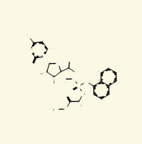 CC(C)OC(=O)[C@H](C)NP(=S)(OC[C@@]1(C(F)F)O[C@@H](n2ccc(N)nc2=O)[C@H](F)[C@@H]1O)Oc1cccc2ccccc12